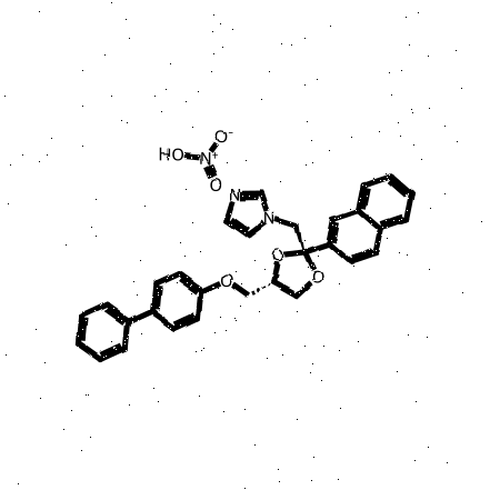 O=[N+]([O-])O.c1ccc(-c2ccc(OC[C@H]3CO[C@@](Cn4ccnc4)(c4ccc5ccccc5c4)O3)cc2)cc1